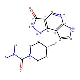 C[C@@H]1CCN(C(=O)N(C)C)C[C@@H]1n1[nH]c(=O)c2cnc3[nH]ccc3c21